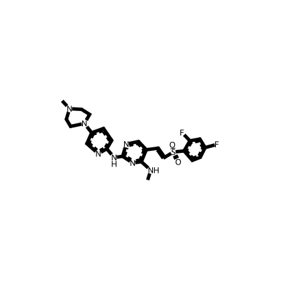 CNc1nc(Nc2ccc(N3CCN(C)CC3)cn2)ncc1C=CS(=O)(=O)c1ccc(F)cc1F